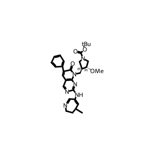 CO[C@H]1CN(C(=O)OC(C)(C)C)C[C@@H]1Cn1c(=O)c(-c2ccccc2)cc2cnc(NC3=CC(C)CCN=C3)nc21